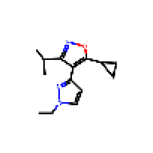 CCn1ccc(-c2c(C(C)C)noc2C2CC2)n1